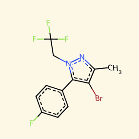 Cc1nn(CC(F)(F)F)c(-c2ccc(F)cc2)c1Br